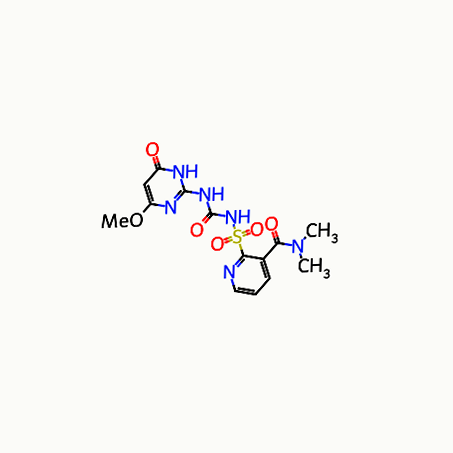 COc1cc(=O)[nH]c(NC(=O)NS(=O)(=O)c2ncccc2C(=O)N(C)C)n1